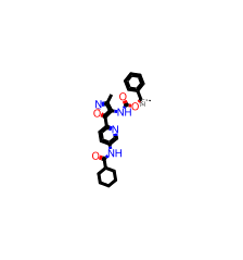 Cc1noc(-c2ccc(NC(=O)C3CCCCC3)cn2)c1NC(=O)O[C@@H](C)c1ccccc1